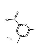 Cc1cc(C)cc([PH](=O)O)c1.N